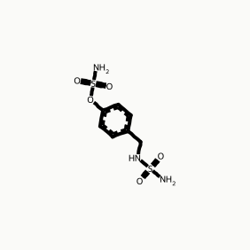 NS(=O)(=O)NCc1ccc(OS(N)(=O)=O)cc1